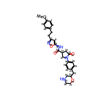 COc1ccc(CCc2cc(NC(=O)C3CC(=O)N(c4ccc(CC5CNCCO5)cc4)C3)on2)cc1